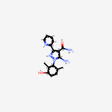 Cc1ccc(O)c(C)c1-n1nc(-c2ccccn2)c(C(N)=O)c1N